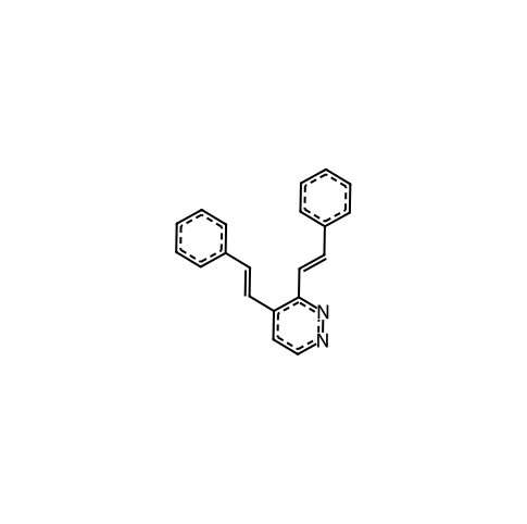 C(=Cc1ccnnc1C=Cc1ccccc1)c1ccccc1